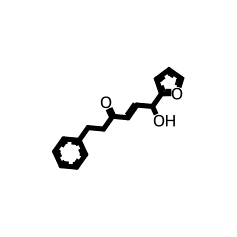 O=C(/C=C/C(O)c1ccco1)CCc1ccccc1